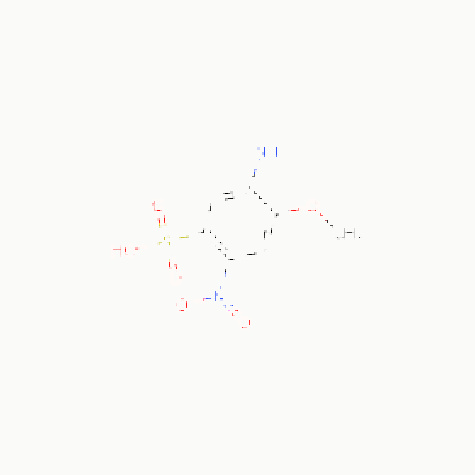 COc1cc([N+](=O)[O-])c(S(=O)(=O)O)cc1[NH]